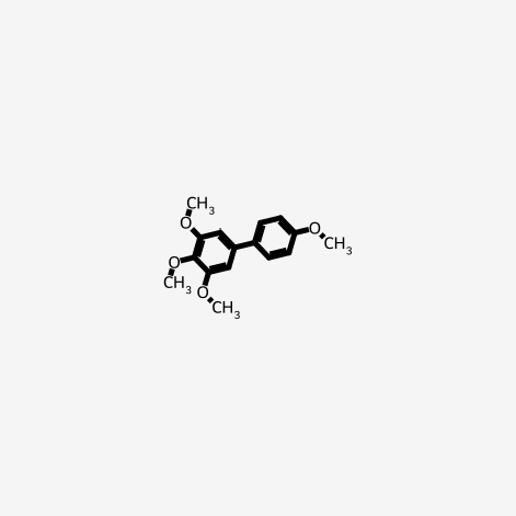 COc1ccc(-c2[c]c(OC)c(OC)c(OC)c2)cc1